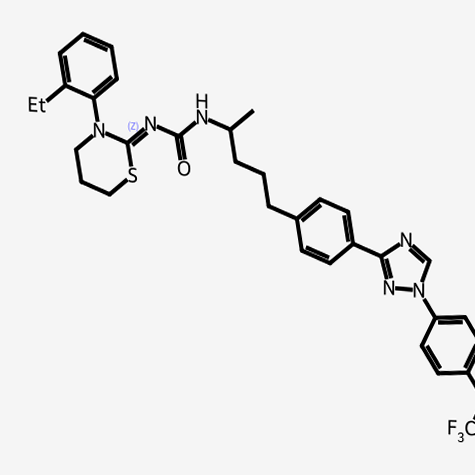 CCc1ccccc1N1CCCS/C1=N\C(=O)NC(C)CCCc1ccc(-c2ncn(-c3ccc(OC(F)(F)F)cc3)n2)cc1